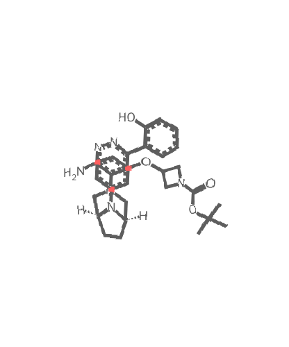 CC(C)(C)OC(=O)N1CC(Oc2cccc(N3[C@@H]4CC[C@H]3CN(c3cc(-c5ccccc5O)nnc3N)C4)c2)C1